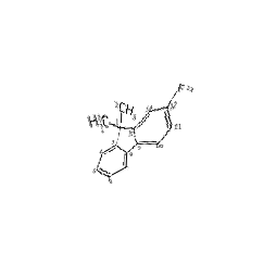 CC1(C)c2ccccc2-c2ccc(F)cc21